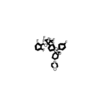 O=S(=O)(c1ccc(F)cc1)[C@]1(c2ccc(C(OCc3c(F)cccc3F)(C(F)(F)F)C(F)(F)F)cc2)CC[C@H](N2CCOCC2)CC1